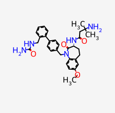 COc1ccc2c(c1)CC[C@@H](NC(=O)CC(C)(C)N)C(=O)N2Cc1ccc(-c2ccccc2CNC(N)=O)cc1